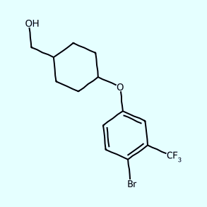 OCC1CCC(Oc2ccc(Br)c(C(F)(F)F)c2)CC1